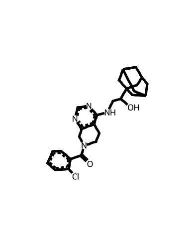 O=C(c1ccccc1Cl)N1CCc2c(ncnc2NCC(O)C23CC4CC(CC(C4)C2)C3)C1